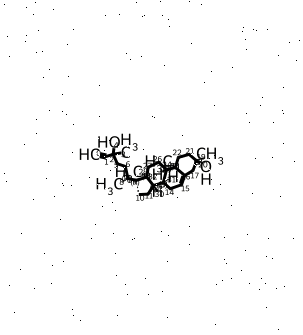 C#CC(C)(O)CC[C@@H](C)[C@H]1CC[C@H]2[C@@H]3CC=C4C[C@@](C)(O)CC[C@]4(C)[C@H]3CC[C@]12C